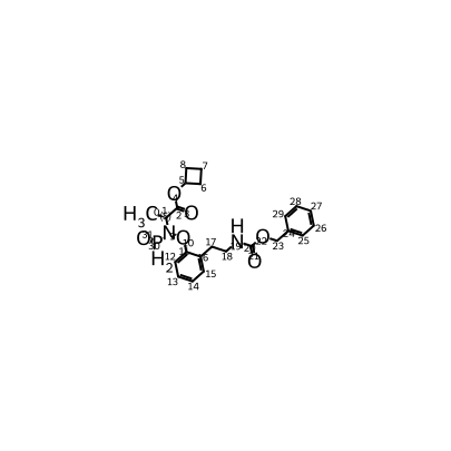 C[C@@H](C(=O)OC1CCC1)N(Oc1ccccc1CCNC(=O)OCc1ccccc1)[PH2]=O